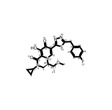 CO[C@H](C)[C@H]1CN(C2CC2)C(=O)c2c(O)c(=O)c(-c3nnc(Cc4ccc(F)cc4)s3)cn21